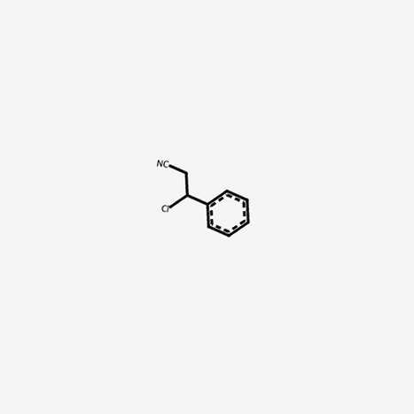 N#CCC(Cl)c1ccccc1